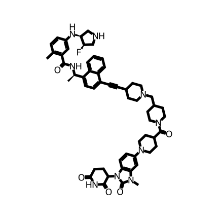 Cc1ccc(N[C@H]2CNC[C@H]2F)cc1C(=O)N[C@H](C)c1ccc(C#CC2CCN(CC3CCN(C(=O)C4CCN(c5ccc6c(c5)n(C)c(=O)n6C5CCC(=O)NC5=O)CC4)CC3)CC2)c2ccccc12